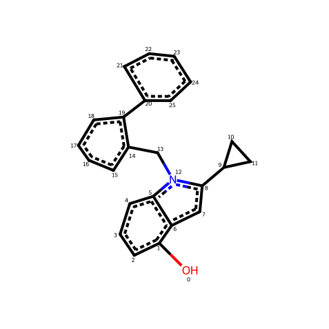 Oc1cccc2c1cc(C1CC1)n2Cc1ccccc1-c1ccccc1